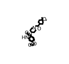 COC1(C)CCC(C(=O)CN2CCC(n3c(=O)[nH]c4cc(S(C)(=O)=O)ccc43)CC2)CC1